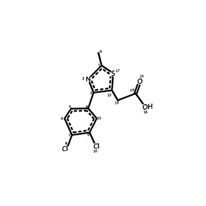 Cc1nc(-c2ccc(Cl)c(Cl)c2)c(CC(=O)O)s1